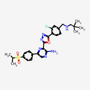 CC(C)S(=O)(=O)c1ccc(-c2cnc(N)c(-c3nnc(-c4ccc(CNCC(C)(C)C)cc4F)o3)n2)cc1